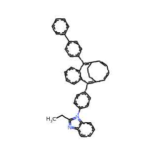 CCc1nc2ccccc2n1-c1ccc(\C2=C3/C=C\C=C/C(=C(\c4ccc(-c5ccccc5)cc4)c4ccccc42)CC3)cc1